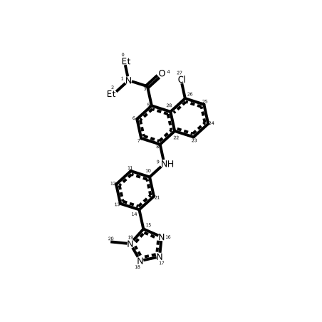 CCN(CC)C(=O)c1ccc(Nc2cccc(-c3nnnn3C)c2)c2cccc(Cl)c12